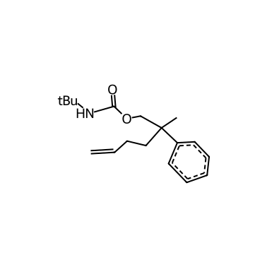 C=CCCC(C)(COC(=O)NC(C)(C)C)c1ccccc1